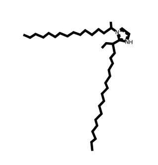 CCCCCCCCCCCCCCCCCC(CC)c1[nH]cc[n+]1C(C)CCCCCCCCCCCCCC